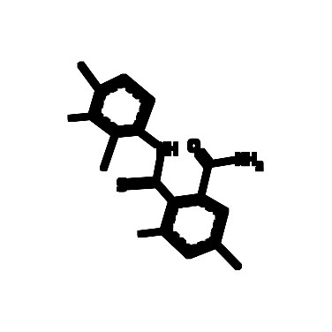 Cc1cc(C)c(C(=S)Nc2ccc(C)c(C)c2C)c(C(N)=O)c1